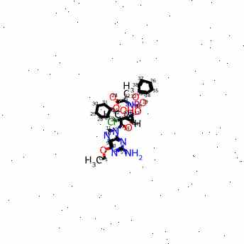 CCOc1nc(N)nc2c1ncn2C1O[C@@H]2C(OP(=O)(N[C@@H](C)C(=O)OC3CCCCC3)Oc3ccccc3)[C@]2(O)[C@@]1(C)Cl